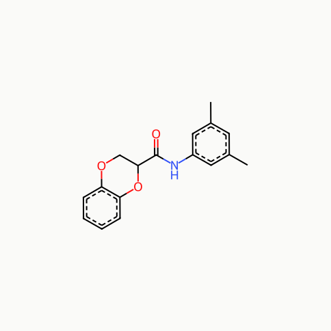 Cc1cc(C)cc(NC(=O)C2COc3ccccc3O2)c1